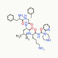 CC(C)C[C@@H](NC(=O)[C@@H](Cc1ccccc1)NC(=O)[C@H](N)Cc1ccccc1)C(=O)N[C@H](CCCCN)C(=O)NC(=O)[N+]1(c2ccccn2)CCNCC1